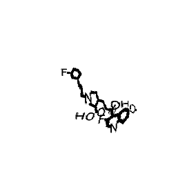 COc1ccc2ncc(F)c([C@H](O)CCC3CCN(CC#Cc4cccc(F)c4)CC3C(=O)O)c2c1